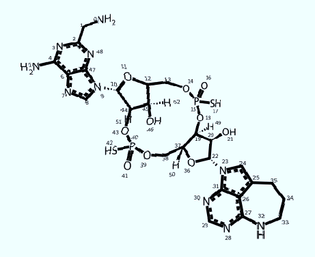 NCc1nc(N)c2ncn([C@@H]3OC4COP(=O)(S)O[C@H]5[C@@H](O)[C@H](n6cc7c8c(ncnc86)NCCC7)O[C@@H]5COP(=O)(S)O[C@@H]3[C@@H]4O)c2n1